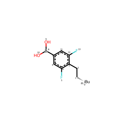 CC[C@@H](C)CCc1c(F)cc(B(O)O)cc1F